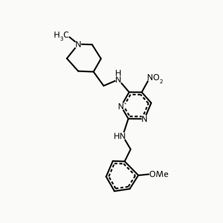 COc1ccccc1CNc1ncc([N+](=O)[O-])c(NCC2CCN(C)CC2)n1